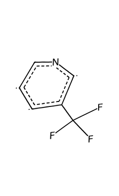 FC(F)(F)c1[c][c]cn[c]1